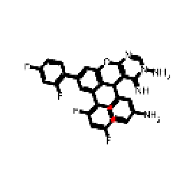 N=c1c2c(ncn1N)Oc1cc(-c3ccc(F)cc3F)cc(-c3ccc(F)cc3F)c1C2c1cccc(N)c1